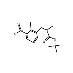 Cc1c(CN(C)C(=O)OC(C)(C)C)cccc1[N+](=O)[O-]